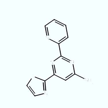 Nc1cc(-c2nccs2)nc(-c2ccccn2)n1